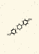 Oc1ccc([C@H]2CC[C@H](c3ccc(O)cc3)CC2)cc1